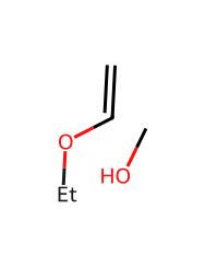 C=COCC.CO